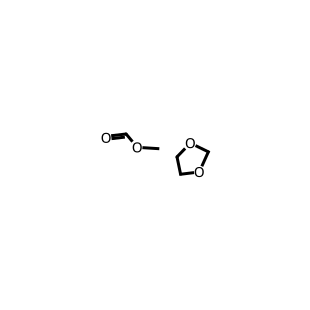 C1COCO1.COC=O